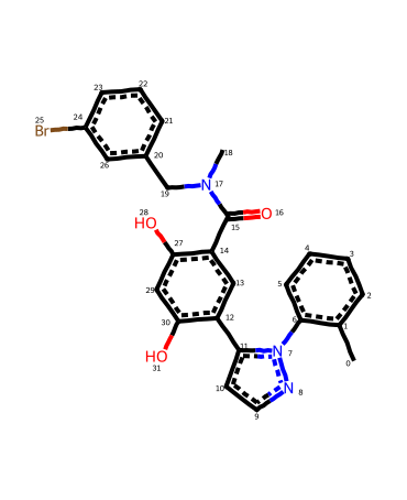 Cc1ccccc1-n1nccc1-c1cc(C(=O)N(C)Cc2cccc(Br)c2)c(O)cc1O